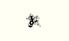 C=C(C)C(=O)OC1(C(F)(F)C(O)(O)C(F)(F)F)CCC2(CC1)OCCO2